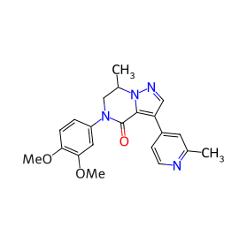 COc1ccc(N2CC(C)n3ncc(-c4ccnc(C)c4)c3C2=O)cc1OC